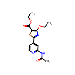 CCOC(=O)c1sc(-c2ccnc(NC(C)=O)c2)nc1OCC